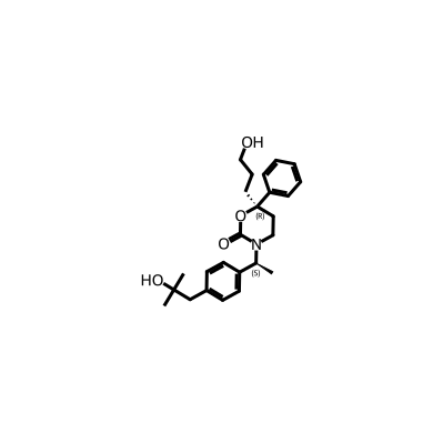 C[C@@H](c1ccc(CC(C)(C)O)cc1)N1CC[C@](CCCO)(c2ccccc2)OC1=O